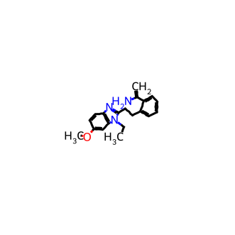 C=C(N)c1ccccc1CCc1nc2ccc(OC)cc2n1CC